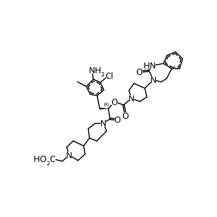 Cc1cc(C[C@@H](OC(=O)N2CCC(N3CCc4ccccc4NC3=O)CC2)C(=O)N2CCC(C3CCN(CC(=O)O)CC3)CC2)cc(Cl)c1N